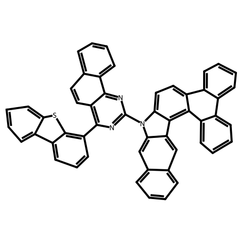 c1ccc2cc3c(cc2c1)c1c2c4ccccc4c4ccccc4c2ccc1n3-c1nc(-c2cccc3c2sc2ccccc23)c2ccc3ccccc3c2n1